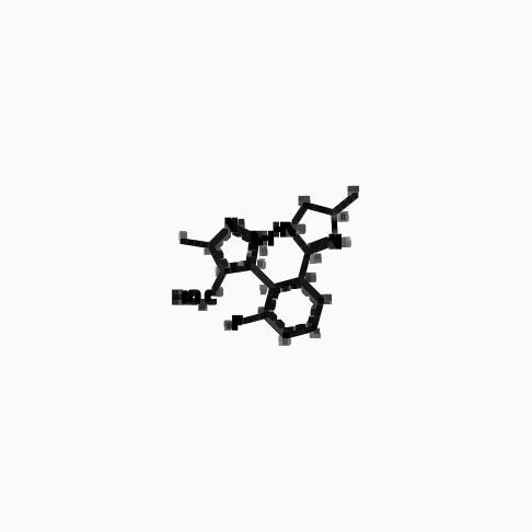 CCOC(=O)c1c(C)n[nH]c1-c1c(F)cccc1C1=NC(C)CN1